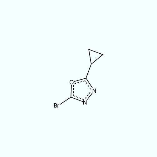 Brc1nnc(C2CC2)o1